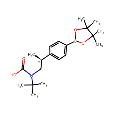 C[C@H](CN(C(=O)O)C(C)(C)C)c1ccc(B2OC(C)(C)C(C)(C)O2)cc1